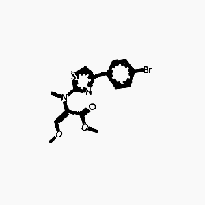 COC=C(C(=O)OC)N(C)c1nc(-c2ccc(Br)cc2)cs1